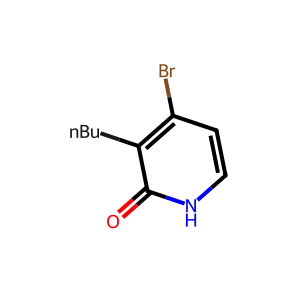 CCCCc1c(Br)cc[nH]c1=O